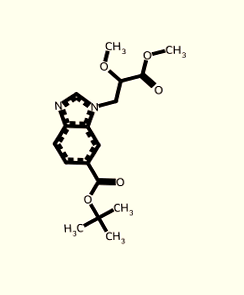 COC(=O)C(Cn1cnc2ccc(C(=O)OC(C)(C)C)cc21)OC